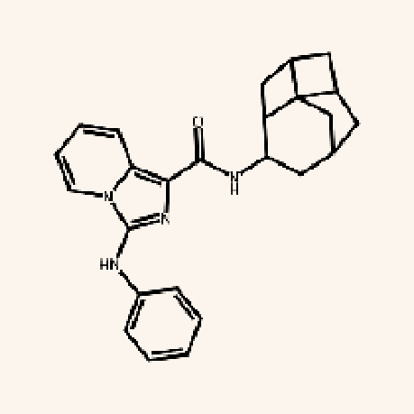 O=C(NC12CC3CC4CC(C1)C4(C3)C2)c1nc(Nc2ccccc2)n2ccccc12